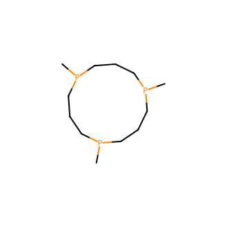 CP1CCCP(C)CCCP(C)CCC1